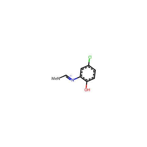 CN/C=N/c1cc(Cl)ccc1O